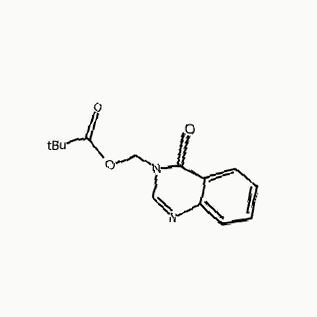 CC(C)(C)C(=O)OCn1cnc2ccccc2c1=O